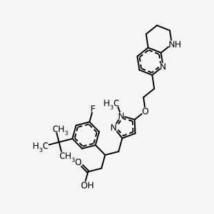 Cn1nc(CC(CC(=O)O)c2cc(F)cc(C(C)(C)C)c2)cc1OCCc1ccc2c(n1)NCCC2